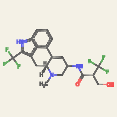 CN1CC(NC(=O)C(CO)C(F)(F)F)C=C2c3cccc4[nH]c(C(F)(F)F)c(c34)C[C@H]21